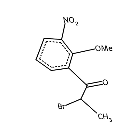 COc1c(C(=O)C(C)Br)cccc1[N+](=O)[O-]